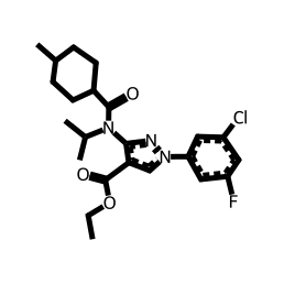 CCOC(=O)c1cn(-c2cc(F)cc(Cl)c2)nc1N(C(=O)C1CCC(C)CC1)C(C)C